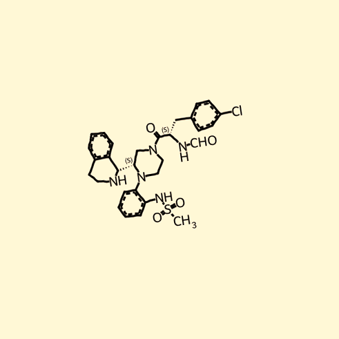 CS(=O)(=O)Nc1ccccc1N1CCN(C(=O)[C@H](Cc2ccc(Cl)cc2)NC=O)C[C@H]1C1NCCc2ccccc21